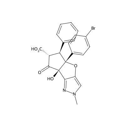 Cn1cc2c(n1)[C@]1(O)C(=O)[C@H](C(=O)O)[C@@H](c3ccccc3)[C@]1(c1ccc(Br)cc1)O2